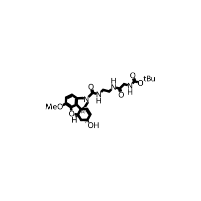 COc1ccc2c3c1O[C@H]1C[C@@H](O)C=C[C@@]31CCN(C(=O)NCCNC(=O)CNC(=O)OC(C)(C)C)C2